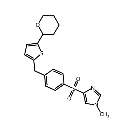 Cn1cnc(S(=O)(=O)c2ccc(Cc3ccc(C4CCCCO4)s3)cc2)c1